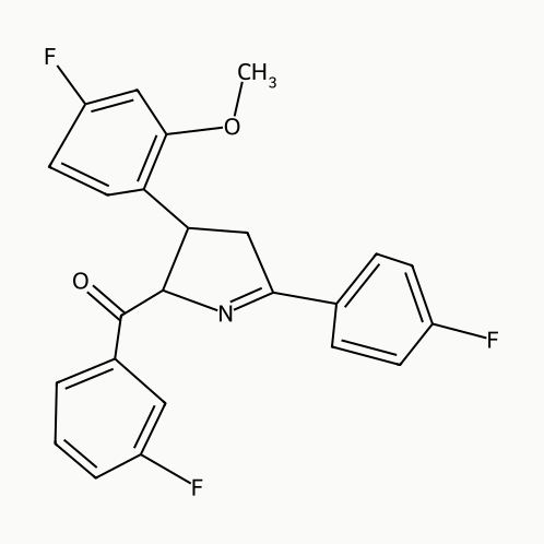 COc1cc(F)ccc1C1CC(c2ccc(F)cc2)=NC1C(=O)c1cccc(F)c1